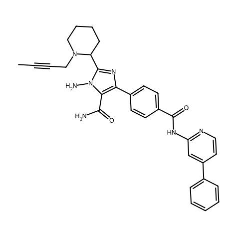 CC#CCN1CCCCC1c1nc(-c2ccc(C(=O)Nc3cc(-c4ccccc4)ccn3)cc2)c(C(N)=O)n1N